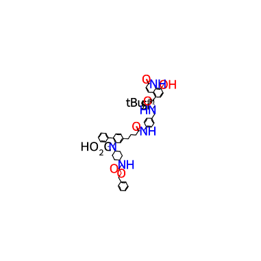 CC(C)(C)[Si](C)(C)O[C@@H](CNCc1ccc(NC(=O)CCCc2ccc(-c3ccccc3)c(N(C(=O)O)C3CCC(NC(=O)OCc4ccccc4)CC3)c2)cc1)c1ccc(O)c2[nH]c(=O)ccc12